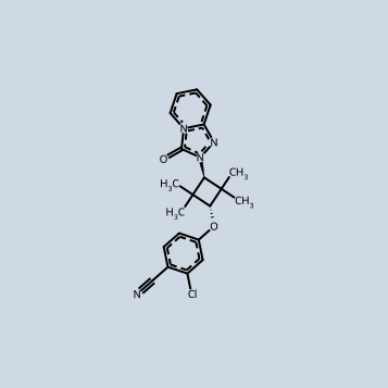 CC1(C)[C@H](Oc2ccc(C#N)c(Cl)c2)C(C)(C)[C@H]1n1nc2ccccn2c1=O